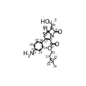 C[C@@H](O)[C@H]1C(=O)N2C(C(=O)OCC[Si](C)(C)C)=C(c3ccc(N)cc3)S[C@H]12